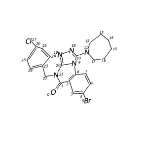 O=c1c2cc(Br)ccc2n2c(N3CCCCCC3)nnc2n1Cc1ccc(Cl)cc1